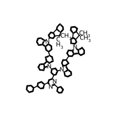 CC1(C)c2ccccc2-c2ccc(-n3c4ccccc4c4cc(-c5ccc6c(c5)c5ccccc5n6-c5cc(-c6cc(-c7ccc(-c8ccccc8)cc7)nc(-c7ccccc7)n6)cc(-n6c7ccccc7c7cc(-c8ccc9c(c8)c8ccccc8n9-c8ccc9c(c8)C(C)(C)c8ccccc8-9)ccc76)c5)ccc43)cc21